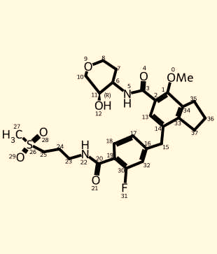 COc1c(C(=O)NC2CCOC[C@@H]2O)cc(Cc2ccc(C(=O)NCCCS(C)(=O)=O)c(F)c2)c2c1CCC2